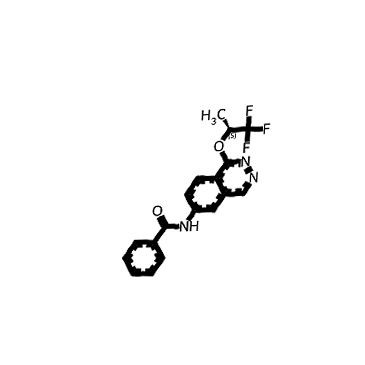 C[C@H](Oc1nncc2cc(NC(=O)c3ccccc3)ccc12)C(F)(F)F